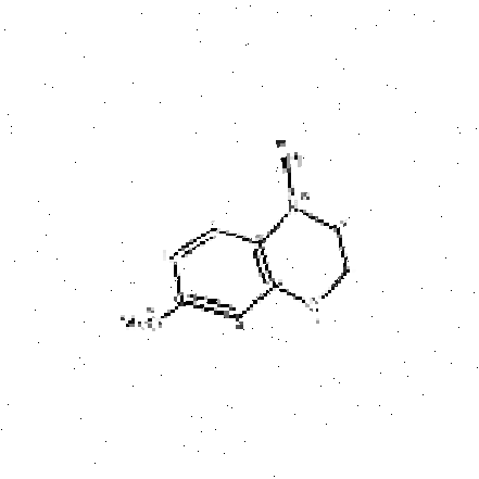 COc1ccc2c(c1)OCCN2C(C)C